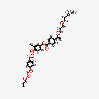 C=CCOOCOc1ccc(COOc2ccc(OC(=O)c3ccc(C(=C)OCCCOCCCOC)cc3)cc2C)cc1